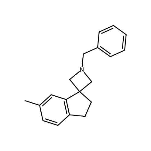 Cc1ccc2c(c1)C1(CC2)CN(Cc2ccccc2)C1